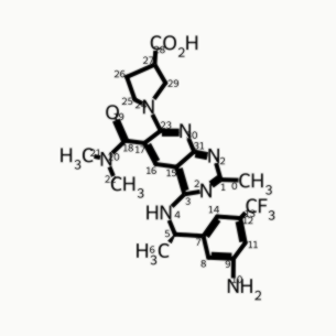 Cc1nc(N[C@H](C)c2cc(N)cc(C(F)(F)F)c2)c2cc(C(=O)N(C)C)c(N3CCC(C(=O)O)C3)nc2n1